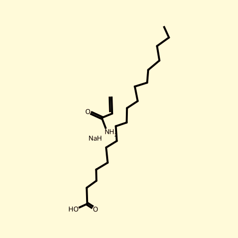 C=CC(N)=O.CCCCCCCCCCCCCCCCCC(=O)O.[NaH]